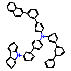 c1ccc(-c2cccc(-c3cccc(N(c4ccc(-c5cccc(-c6ccc7ccccc7c6)c5)cc4)c4ccc(-c5cccc(-n6c7ccccc7c7ccccc76)c5)cc4)c3)c2)cc1